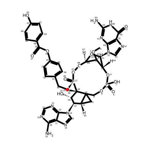 CO[C@H]1[C@H]2OP(=O)(O)OCC34C[C@@H]3[C@@H](n3cnc5c(N)ncnc53)[C@H](O)[C@@H]4[P@@](=O)(SCc3ccc(OC(=O)c4ccc(O)cc4)cc3)OC[C@H]1O[C@H]2n1cnc2c(=O)[nH]c(N)nc21